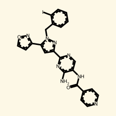 Nc1nc(-c2cc(-c3ccon3)n(Cc3ccccc3I)n2)ncc1NC(=O)c1ccncc1